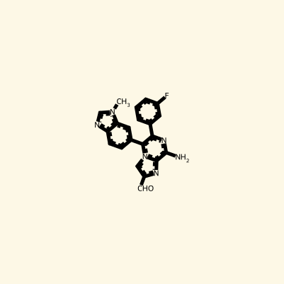 Cn1cnc2ccc(-c3c(-c4cccc(F)c4)nc(N)c4nc(C=O)cn34)cc21